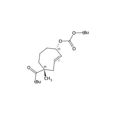 CC(C)(C)OC(=O)O[C@@H]1/C=C/C[C@](C)(C(=O)C(C)(C)C)CCC1